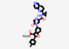 CNC(=O)c1c(-c2ccc(C)cc2)oc2ccc(-n3cc(C(=O)NC4(c5ccc6cnccc6n5)CC4)ncc3=O)cc12